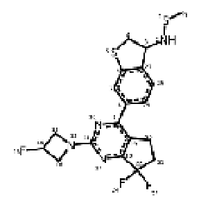 CSNC1CSc2cc(-c3nc(N4CC(F)C4)nc4c3CCC4(F)F)ccc21